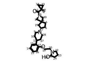 O=C(N1CC2(CC[C@@H](N3CCC(c4ccccc4OCCN4CCCC4O)CC3)C2)C1)C1(F)CC1